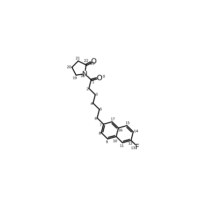 O=C(CCCCCc1ccc2cc(F)ccc2c1)N1CCCC1=O